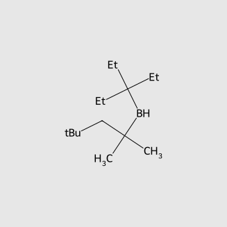 CCC(BC(C)(C)CC(C)(C)C)(CC)CC